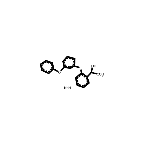 O=C(O)C(O)c1ccccc1Sc1cccc(Oc2ccccc2)c1.[NaH]